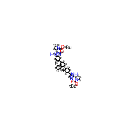 CC(C)(C)OC(=O)N1CCCC1c1ncc(-c2ccc(-c3ccc(-c4ccc5[nH]c(C6CCCN6C(=O)OC(C)(C)C)nc5c4)c4c3[C@@H]3CC[C@H]4C3)cc2)[nH]1